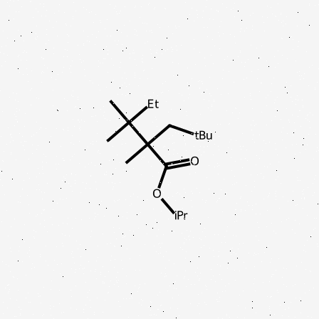 CCC(C)(C)C(C)(CC(C)(C)C)C(=O)OC(C)C